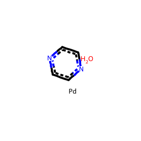 O.[Pd].c1cnccn1